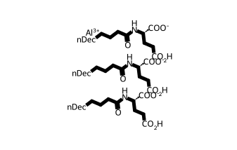 CCCCCCCCCCCCCC(=O)N[C@@H](CCC(=O)O)C(=O)[O-].CCCCCCCCCCCCCC(=O)N[C@@H](CCC(=O)O)C(=O)[O-].CCCCCCCCCCCCCC(=O)N[C@@H](CCC(=O)O)C(=O)[O-].[Al+3]